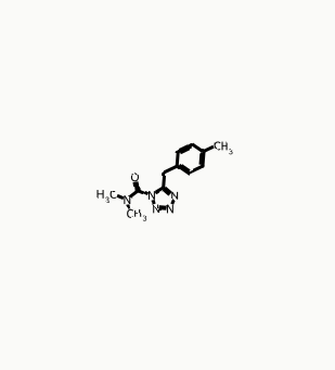 Cc1ccc(Cc2nnnn2C(=O)N(C)C)cc1